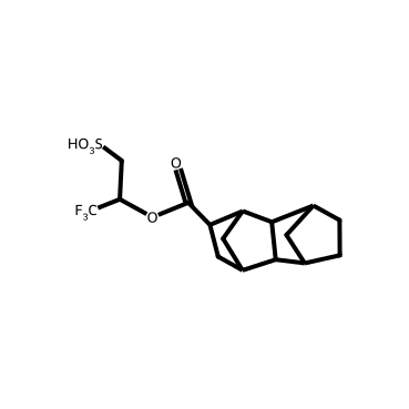 O=C(OC(CS(=O)(=O)O)C(F)(F)F)C1CC2CC1C1C3CCC(C3)C21